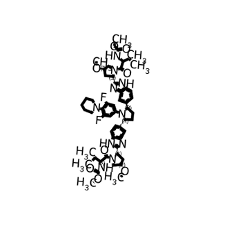 COC(=O)NC(C(=O)N1C[C@H](OC)C[C@H]1c1nc2cc([C@H]3CC[C@H](c4ccc5[nH]c([C@@H]6C[C@@H](OC)CN6C(=O)[C@@H](NC(=O)OC)C(C)C)nc5c4)N3c3cc(F)c(N4CCCCC4)c(F)c3)ccc2[nH]1)C(C)C